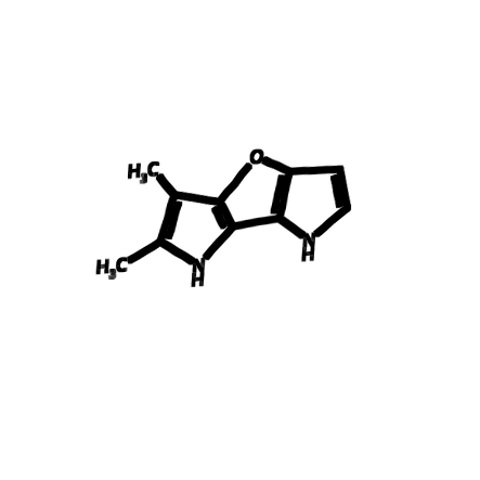 Cc1[nH]c2c(oc3cc[nH]c32)c1C